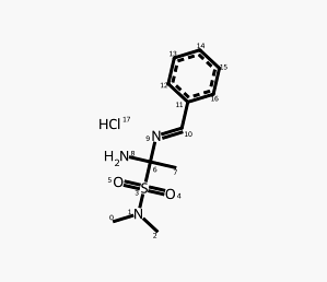 CN(C)S(=O)(=O)C(C)(N)N=Cc1ccccc1.Cl